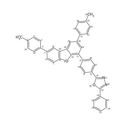 Cc1ccc(-c2ccc3oc4c(-c5ccc(-c6nnc(-c7ccccc7)o6)cc5)cc(-c5ccc(C)cc5)cc4c3c2)cc1